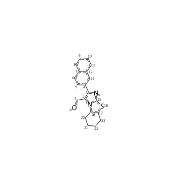 O=Cc1c(-c2ccc3ccccc3c2)nc2sc3c(n12)CCCC3